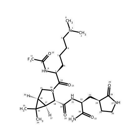 CN(C)CCCC[C@H](NC(=O)C(F)(F)F)C(=O)N1C[C@H]2[C@@H]([C@H]1C(=O)N[C@@H](C[C@@H]1CCNC1=O)C(N)=O)C2(C)C